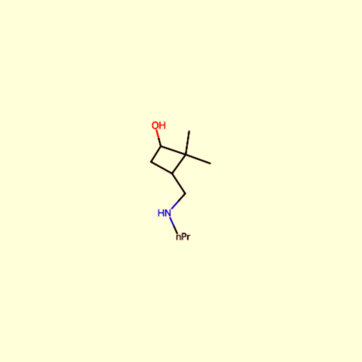 CCCNCC1CC(O)C1(C)C